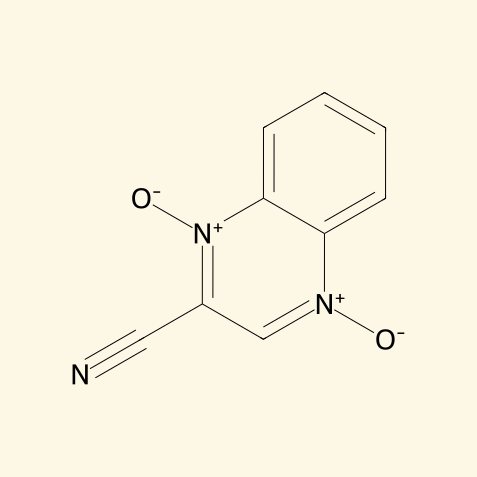 N#Cc1c[n+]([O-])c2ccccc2[n+]1[O-]